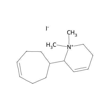 C[N+]1(C)CCC=CC1C1CCC=CCC1.[I-]